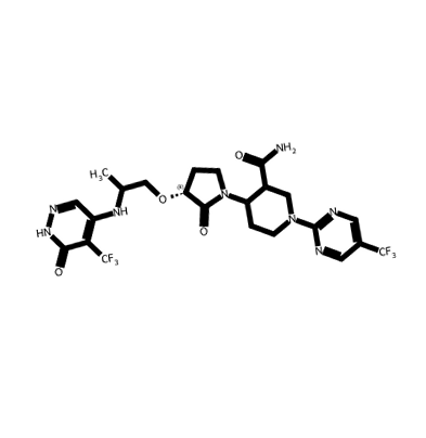 CC(CO[C@@H]1CCN(C2CCN(c3ncc(C(F)(F)F)cn3)CC2C(N)=O)C1=O)Nc1cn[nH]c(=O)c1C(F)(F)F